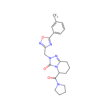 O=C(C1CCCc2nn(Cc3noc(-c4cccc(C(F)(F)F)c4)n3)c(=O)n21)N1CCCC1